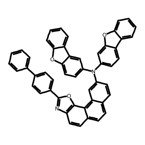 c1ccc(-c2ccc(-c3nc4ccc5ccc6ccc(N(c7ccc8c(c7)oc7ccccc78)c7ccc8oc9ccccc9c8c7)cc6c5c4o3)cc2)cc1